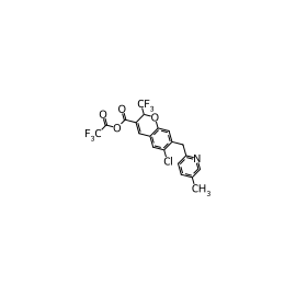 Cc1ccc(Cc2cc3c(cc2Cl)C=C(C(=O)OC(=O)C(F)(F)F)C(C(F)(F)F)O3)nc1